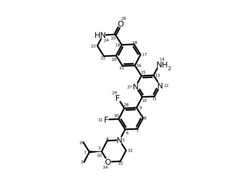 CC(C)[C@H]1CN(c2ccc(-c3cnc(N)c(-c4ccc5c(c4)CCNC5=O)n3)c(F)c2F)CCO1